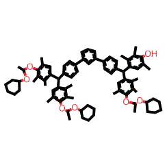 Cc1cc(C(c2ccc(-c3cccc(-c4ccc(C(c5cc(C)c(OC(C)OC6CCCCC6)c(C)c5C)c5cc(C)c(OC(C)OC6CCCCC6)c(C)c5C)cc4)c3)cc2)c2cc(C)c(OC(C)OC3CCCCC3)c(C)c2C)c(C)c(C)c1O